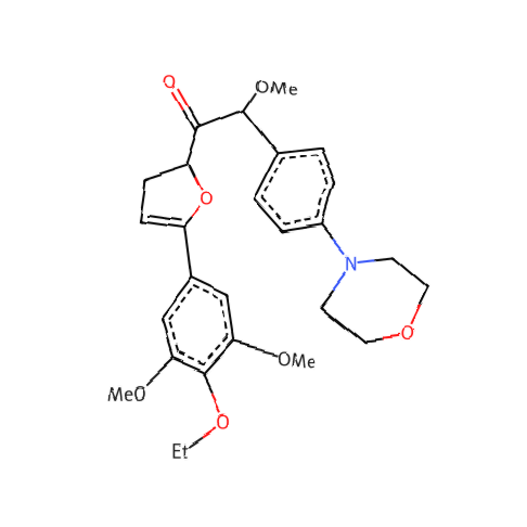 CCOc1c(OC)cc(C2=CCC(C(=O)C(OC)c3ccc(N4CCOCC4)cc3)O2)cc1OC